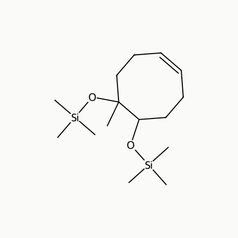 CC1(O[Si](C)(C)C)CCC=CCCC1O[Si](C)(C)C